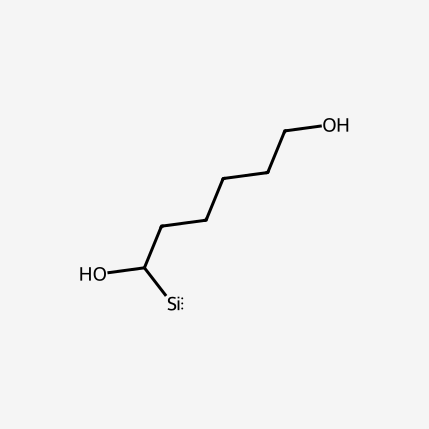 OCCCCCC(O)[Si]